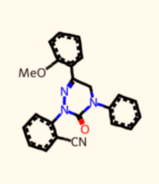 COc1ccccc1C1=NN(c2ccccc2C#N)C(=O)N(c2ccccc2)C1